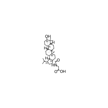 CC(C)[C@@H]1CC[C@]2(C(=O)NCC(=O)O)CC[C@]3(C)C(CC[C@@H]4[C@@]5(C)CC[C@@H](O)C(C)(C)[C@@H]5CC[C@]43C)[C@H]12